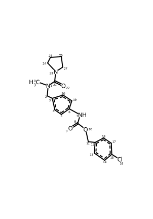 CN(Cc1ccc(NC(=O)OCc2ccc(Cl)cc2)cc1)C(=O)N1CCCC1